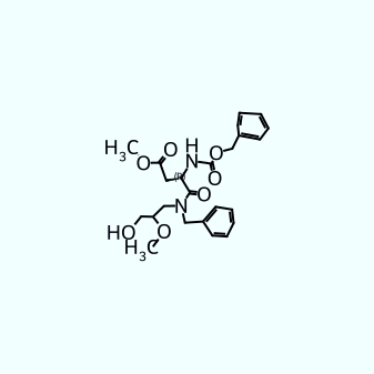 COC(=O)C[C@@H](NC(=O)OCc1ccccc1)C(=O)N(Cc1ccccc1)CC(CO)OC